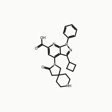 O=C(O)c1cc(N2CC3(CCNCC3)CC2=O)c2c(C3CCC3)nn(-c3ccccc3)c2n1